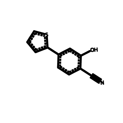 N#Cc1ccc(-c2cccs2)cc1O